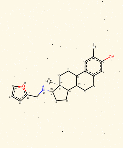 CCc1cc2c(cc1O)CCC1C2CC[C@@]2(C)C1CC[C@@H]2NCc1ccco1